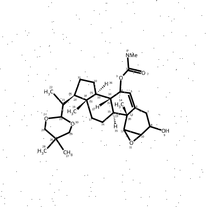 CNC(=O)OC1C=C2CC(O)C3OC3[C@]2(C)[C@H]2CC[C@]3(C)[C@@H](C(C)C4OCC(C)(C)CO4)CC[C@H]3[C@H]12